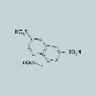 CCCCCCCCC.O=S(=O)(O)c1ccc2ccc(S(=O)(=O)O)cc2c1